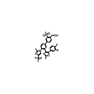 Cc1nc(-c2cc(-c3ccc(CO)c(S(C)(=O)=O)c3)ccc2-n2cc(C(F)(F)F)nc2C)c(-c2ccc(F)c(F)c2)o1